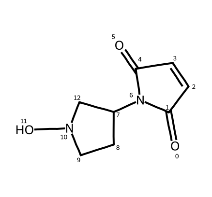 O=C1C=CC(=O)N1C1CCN(O)C1